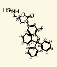 O=C1O[C@H](CNS)CN1c1ccc(SC(c2ccccc2)(c2ccccc2)c2ccccc2)c(F)c1